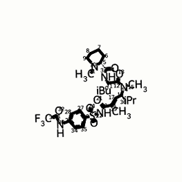 CC[C@H](C)C(NC(=O)[C@H]1CCCCN1C)C(=O)N(C)[C@H](/C=C(\C)C(=O)NS(=O)(=O)c1ccc(NC(=O)C(F)(F)F)cc1)C(C)C